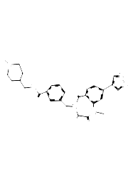 C[C@@H]1C(=O)N(C)c2cc(-c3cn[nH]c3)ccc2C(=O)N1Cc1cccc(C(=O)NCC2CCN(C)CC2)c1